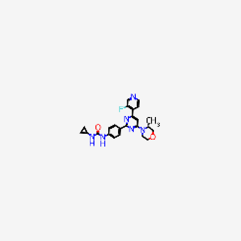 C[C@H]1COCCN1c1cc(-c2ccncc2F)nc(-c2ccc(NC(=O)NC3CC3)cc2)n1